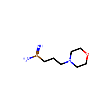 N=S(N)CCCN1CCOCC1